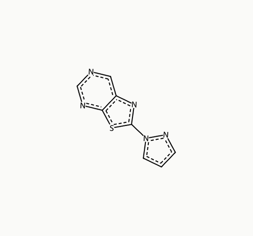 c1cnn(-c2nc3cncnc3s2)c1